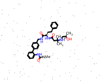 CNC(=O)Nc1ccccc1-c1ccc(CNC(=O)[C@@H](CCc2ccccc2)NC(=O)CC(C)(C)NC[C@@H](C)O)cc1